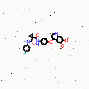 COc1cc2nccc(Oc3ccc(NC(=O)C4(C(=O)Nc5ccc([18F])cc5)CC4)cc3)c2cc1OC